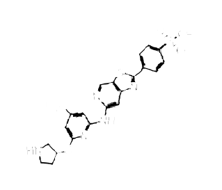 Cc1cc(Nc2cc3nc(-c4ccc(S(C)(=O)=O)cc4)sc3cn2)nc(O[C@H]2CCNC2)c1